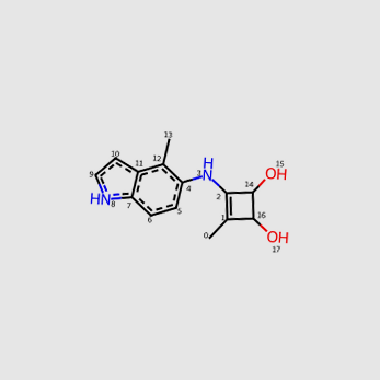 CC1=C(Nc2ccc3[nH]ccc3c2C)C(O)C1O